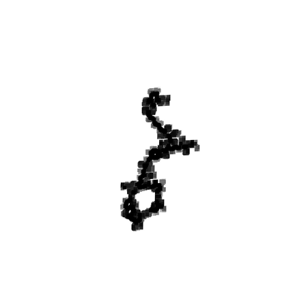 C=C1C2C[C@@H]3OC(CC(O)CNC(=O)OCc4ccc(NC(=O)C(CCCNC(N)=O)NC(=O)[C@@H](NC(=O)CCCCCC(=O)ON5C(=O)CCC5O)C(C)C)cc4)[C@H](OC)C3CC(=O)CC3CCC4OC5CC(O[C@@]6(CCC7CC(=C)[C@H](CCC(C[C@H]1C)O2)O7)C[C@@H](O)C5O6)[C@H]4O3